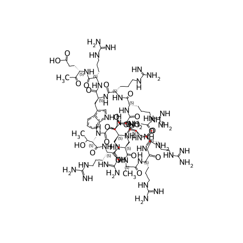 CC(=O)[C@H](CCC(=O)O)NC(=O)[C@H](CCCNC(=N)N)NC(=O)[C@H](Cc1c[nH]c2ccccc12)NC(=O)[C@H](CCCNC(=N)N)NC(=O)[C@H](CCCNC(=N)N)NC(=O)[C@H](CCCNC(=N)N)NC(=O)[C@H](CCCNC(=N)N)NC(=O)[C@H](CC(N)=O)NC(=O)[C@H](CCCNC(=N)N)CC(=O)[C@H](CCCNC(=N)N)NC(=O)[C@H](C)NC(=O)[C@H](CCC(N)=O)NC(=O)[C@H](CCCNC(=N)N)NC(=O)[C@@H](NC(=O)CCC(=O)O)C(C)O